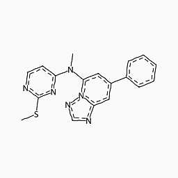 CSc1nccc(N(C)c2cc(-c3ccccc3)cc3ncnn23)n1